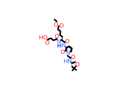 CCOC(=O)/C=C/CC[C@H](NC(=O)CCC(=O)O)C(=O)Nc1cccn(CC(=O)N[C@H](C=O)CC(C)(C)C)c1=O